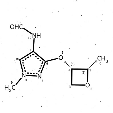 C[C@@H]1OC[C@@H]1Oc1nn(C)cc1NC=O